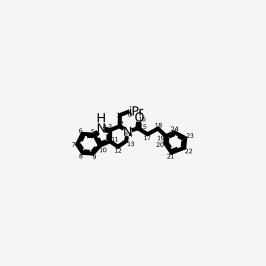 CC(C)CC1c2[nH]c3ccccc3c2CCN1C(=O)CCc1ccccc1